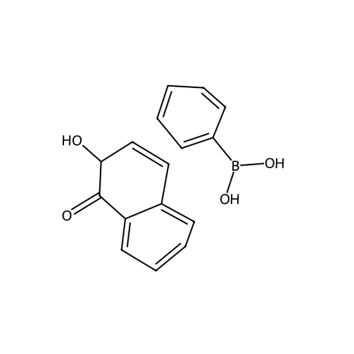 O=C1c2ccccc2C=CC1O.OB(O)c1ccccc1